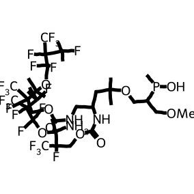 COCC(COC(C)(C)CC(CNC(=O)OCC(F)(C(F)(F)F)C(C)(C)OC(F)(F)C(F)(C(C)(C)F)C(F)(F)F)NC(=O)OCC(F)(C(F)(F)F)C(C)(N)OC(F)(F)C(F)(C(C)(C)F)C(F)(F)F)P(C)O